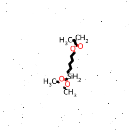 C=C(C)C(=O)OCCCCCC[SiH2]C(OCC)OCC